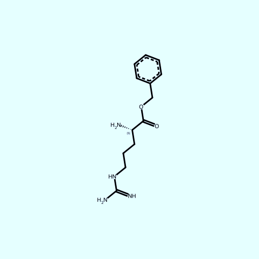 N=C(N)NCCC[C@H](N)C(=O)OCc1ccccc1